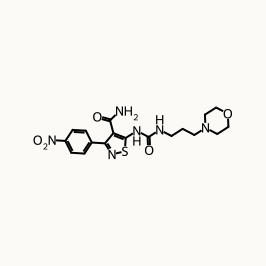 NC(=O)c1c(-c2ccc([N+](=O)[O-])cc2)nsc1NC(=O)NCCCN1CCOCC1